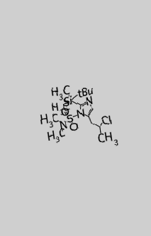 CC(Cl)Cc1cnc([Si](C)(C)C(C)(C)C)n1S(=O)(=O)N(C)C